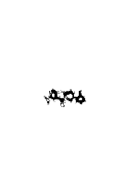 Cc1ccccc1C1CCCN(C(=O)c2ccnc(N(C)C)c2)C1